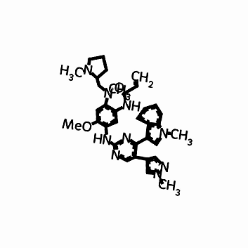 C=CC(=O)Nc1cc(Nc2ncc(-c3cnn(C)c3)c(-c3cn(C)c4ccccc34)n2)c(OC)cc1N(C)CC1CCCN1C